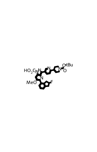 COc1cc2c(nc1-c1cccc3c1CC(F)C3)c(-c1ccc(C3=CCN(C(=O)OC(C)(C)C)CC3)nc1)nn2C(=O)O